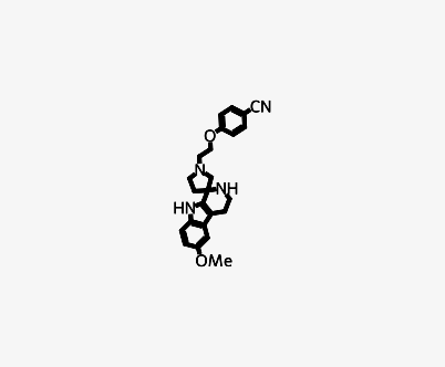 COc1ccc2[nH]c3c(c2c1)CCNC31CCN(CCOc2ccc(C#N)cc2)C1